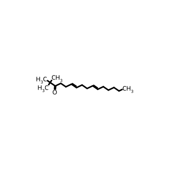 CCCCC/C=C/CC/C=C/CCC(=O)C(C)(C)C